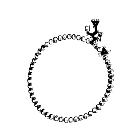 ClCc1c(C2CCCCCCCCCCCCCCCCCCCCCCCCCCCCCCCCCCCCCCCCCCCCCCCCC3(CC2)CC3)noc1C1CC1